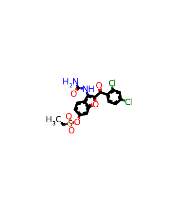 CCS(=O)(=O)Oc1ccc2c(NC(N)=O)c(C(=O)c3ccc(Cl)cc3Cl)oc2c1